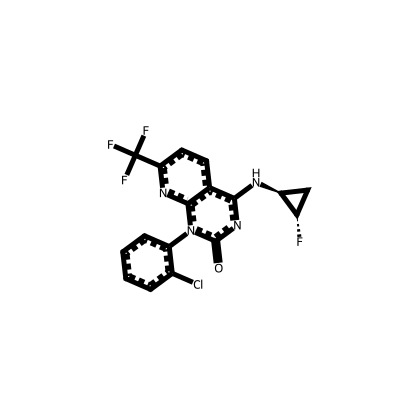 O=c1nc(N[C@H]2C[C@@H]2F)c2ccc(C(F)(F)F)nc2n1-c1ccccc1Cl